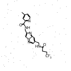 Cc1ccnc(C(=O)NCc2cn3ncc(CNC(=O)CCC(F)(F)F)cc3n2)c1